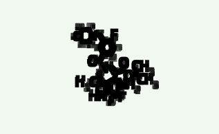 CC(C)OC(=O)C1=CN(C(=O)c2ccc(F)c(CN3CCOCC3)c2)CC(C)(C)C(C(=N)C(F)(F)F)=C1N